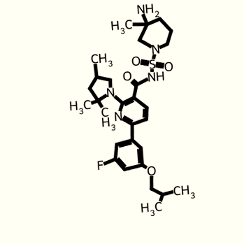 CC(C)COc1cc(F)cc(-c2ccc(C(=O)NS(=O)(=O)N3CCCC(C)(N)C3)c(N3CC(C)CC3(C)C)n2)c1